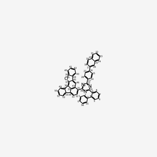 c1ccc(-c2ccccc2-c2nc(-c3ccc(-c4ccc5ccccc5c4)cc3)nc(-c3ccc4c5c(c6oc7ccccc7c6cc35)-c3ccccc3-4)n2)cc1